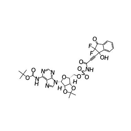 CC(C)(C)OC(=O)Nc1ncnc2c1ncn2[C@@H]1O[C@H](COS(=O)(=O)NC(=O)C#CC2(O)c3ccccc3C(=O)C2(F)F)[C@H]2OC(C)(C)O[C@H]21